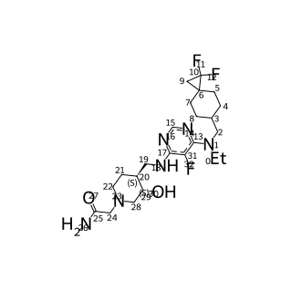 CCN(CC1CCC2(CC1)CC2(F)F)c1ncnc(NC[C@@H]2CCN(CC(N)=O)C[C@H]2O)c1F